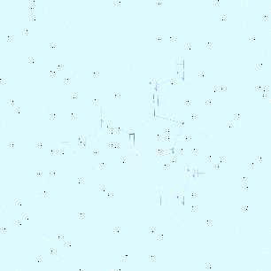 CC1(C(=O)NN)SNN=C1C(=O)NN